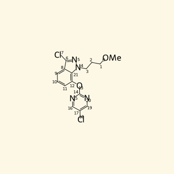 COCCCn1nc(Cl)c2cccc(Oc3ncc(Cl)cn3)c21